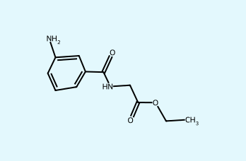 CCOC(=O)CNC(=O)c1cccc(N)c1